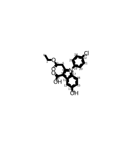 CCOC(=O)Cc1c(C(=O)O)c2cc(O)ccc2n1-c1ccc(Cl)cc1